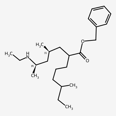 CCN[C@H](C)C[C@@H](C)CC(CCCC(C)CC)C(=O)OCc1ccccc1